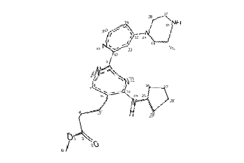 COC(=O)CCc1cnc(-c2cc(N3CCNCC3)ccn2)nc1NC1CCCC1